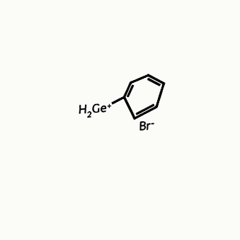 [Br-].[GeH2+][c]1ccccc1